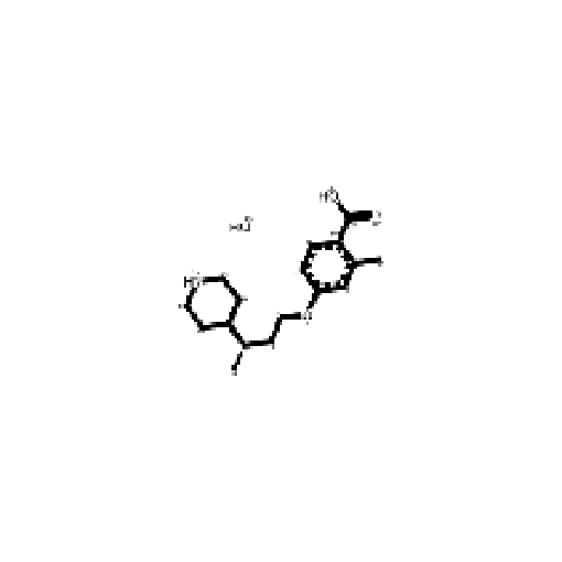 Cc1cc(OCC[C@@H](C)C2CCNCC2)ccc1C(=O)O.Cl